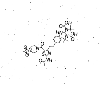 CC(=O)Nc1nc(CCc2ccc(NC(N(C(=O)O)C(C)(C)C)N(C(=O)O)C(C)(C)C)cc2)c(C(=O)N2CCN(S(C)(=O)=O)CC2)s1